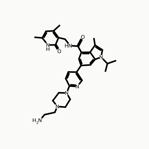 Cc1cc(C)c(CNC(=O)c2cc(-c3ccc(N4CCN(CCN)CC4)nc3)cc3c2c(C)cn3C(C)C)c(=O)[nH]1